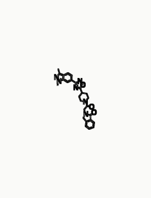 Cc1nn(C)c2cc(-c3noc(C4CCN(C(=O)CN5Cc6ccccc6C5=O)CC4)n3)ccc12